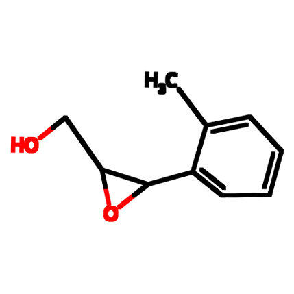 Cc1ccccc1C1OC1CO